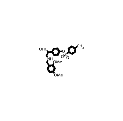 COc1ccc(CNCC(C=O)c2ccc(OS(=O)(=O)c3ccc(C)cc3)cc2)c(OC)c1